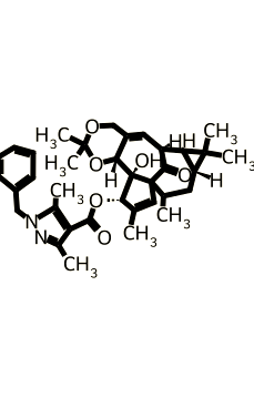 CC1=CC23C(=O)[C@@H](C=C4COC(C)(C)O[C@H]4[C@]2(O)[C@H]1OC(=O)c1c(C)nn(Cc2ccccc2)c1C)[C@H]1[C@@H](CC3C)C1(C)C